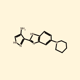 Nc1c[nH]nc1-c1nc2cc(N3CCCCC3)ccc2[nH]1